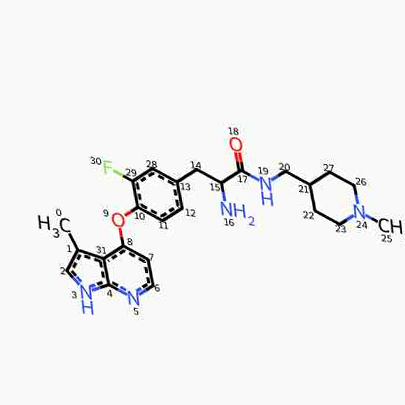 Cc1c[nH]c2nccc(Oc3ccc(CC(N)C(=O)NCC4CCN(C)CC4)cc3F)c12